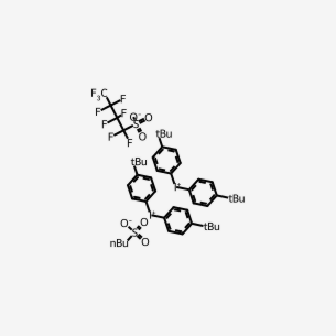 CC(C)(C)c1ccc([I+]c2ccc(C(C)(C)C)cc2)cc1.CC(C)(C)c1ccc([I+]c2ccc(C(C)(C)C)cc2)cc1.CCCCS(=O)(=O)[O-].O=S(=O)([O-])C(F)(F)C(F)(F)C(F)(F)C(F)(F)F